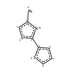 CC(C)c1csc(-c2cccs2)n1